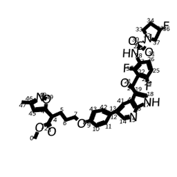 COC(=O)C(CCCOc1ccc(-c2cnc3[nH]cc(C(=O)c4c(F)ccc(NS(=O)(=O)N5CC[C@@H](F)C5)c4F)c3c2)cc1)c1cc(C)no1